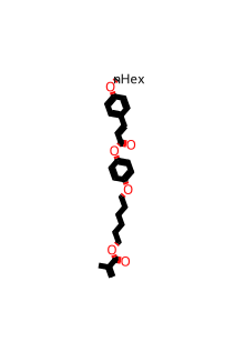 C=C(C)C(=O)OCCCCCCOc1ccc(OC(=O)C=Cc2ccc(OCCCCCC)cc2)cc1